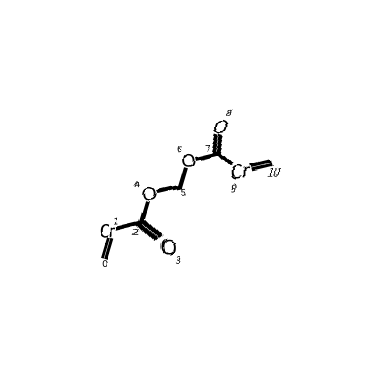 [CH2]=[Cr][C](=O)OCO[C](=O)[Cr]=[CH2]